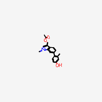 CC(=O)OCc1cn(C)c2cc(-c3ccc(O)cc3C)ccc12